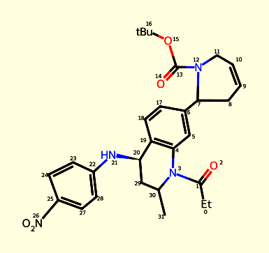 CCC(=O)N1c2cc(C3CC=CCN3C(=O)OC(C)(C)C)ccc2[C@H](Nc2ccc([N+](=O)[O-])cc2)CC1C